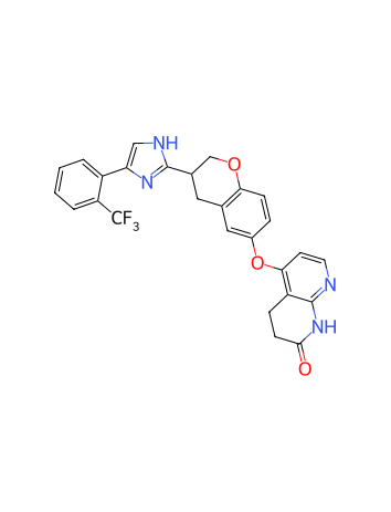 O=C1CCc2c(Oc3ccc4c(c3)CC(c3nc(-c5ccccc5C(F)(F)F)c[nH]3)CO4)ccnc2N1